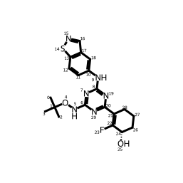 CC(C)(C)ONc1nc(Nc2ccc3sncc3c2)nc(C2=C(F)[C@@H](O)CCC2)n1